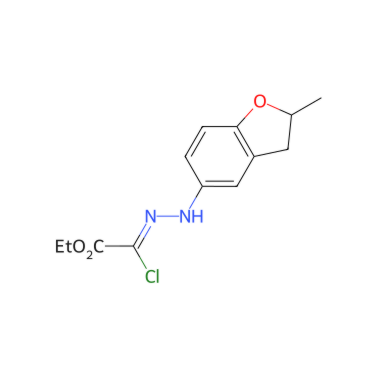 CCOC(=O)C(Cl)=NNc1ccc2c(c1)CC(C)O2